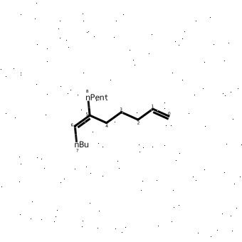 C=CCCCC(=CCCCC)CCCCC